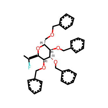 CC(F)=C1O[C@H](COCc2ccccc2)[C@@H](OCc2ccccc2)[C@H](OCc2ccccc2)[C@H]1OCc1ccccc1